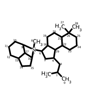 CC(C)CC1CC([Si]2(C)C3CCCC4CCC2C43)C2CCC3C(CCCC3(C)C)C12